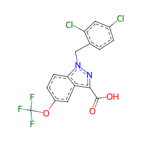 O=C(O)c1nn(Cc2ccc(Cl)cc2Cl)c2ccc(OC(F)(F)F)cc12